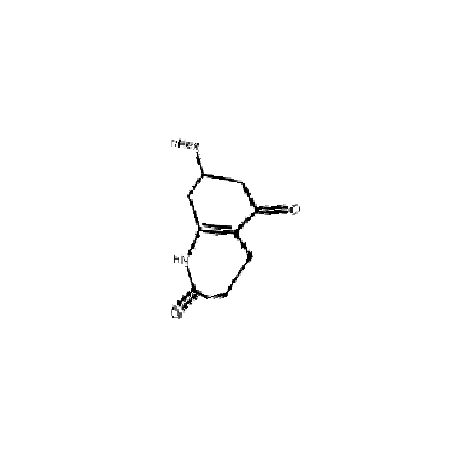 CCCCCCC1CC(=O)C2=C(C1)NC(=O)CC2